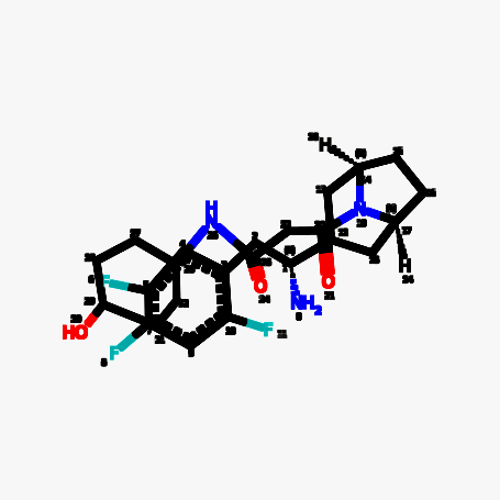 N[C@H](Cc1cc(F)c(F)cc1F)C1C[C@H]2CC[C@@H](C1)N2C(=O)CC(=O)NC1CCC(O)CC1